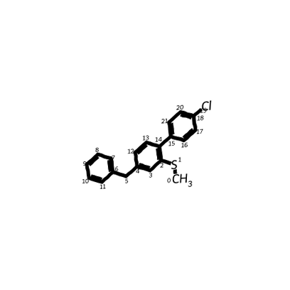 CSc1cc(Cc2ccccc2)c[c]c1-c1ccc(Cl)cc1